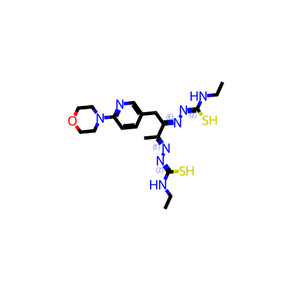 CCN/C(S)=N/N=C(C)/C(Cc1ccc(N2CCOCC2)nc1)=N/N=C(\S)NCC